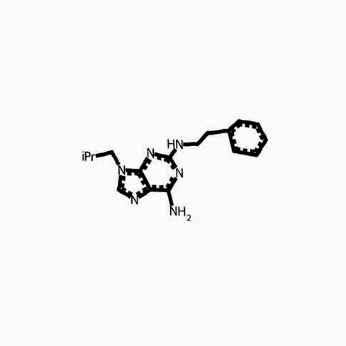 CC(C)Cn1cnc2c(N)nc(NCCc3ccccc3)nc21